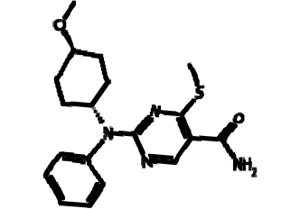 CO[C@H]1CC[C@H](N(c2ccccc2)c2ncc(C(N)=O)c(SC)n2)CC1